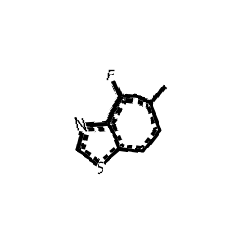 Cc1ccc2scnc2c1F